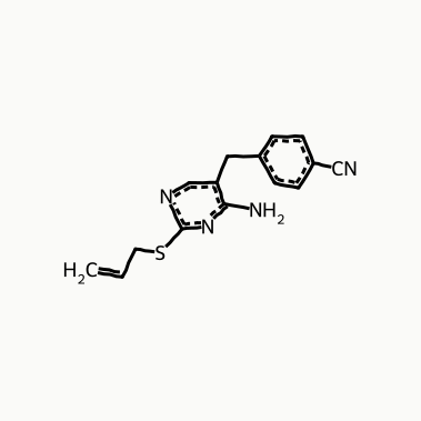 C=CCSc1ncc(Cc2ccc(C#N)cc2)c(N)n1